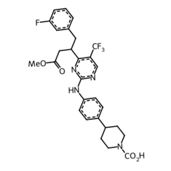 COC(=O)CC(Cc1cccc(F)c1)c1nc(Nc2ccc(C3CCN(C(=O)O)CC3)cc2)ncc1C(F)(F)F